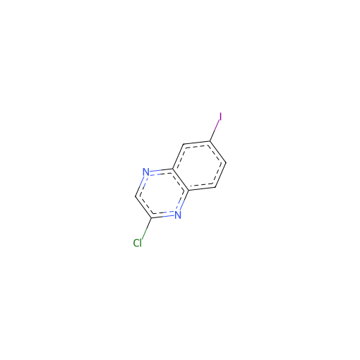 Clc1cnc2cc(I)ccc2n1